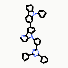 c1ccc(-c2nc(-c3ccccc3)nc(-c3cccc(-n4c5ccc(-c6ccc7c8ccccc8n(-c8ccccc8)c7c6)cc5c5ncccc54)c3)n2)cc1